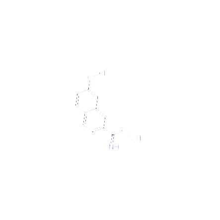 COC(=N)c1ccc2ccc(OC)cc2c1